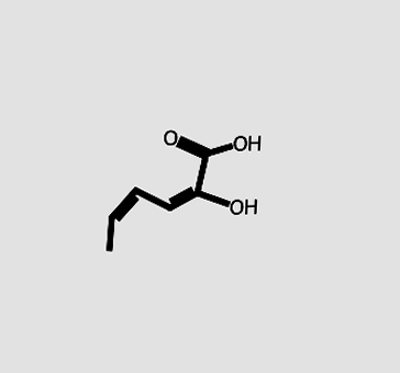 C/C=C\C=C(\O)C(=O)O